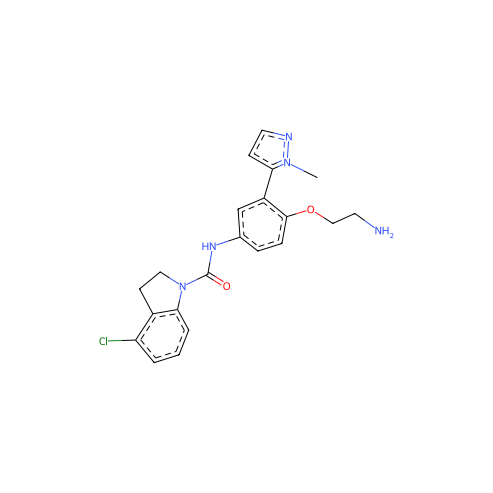 Cn1nccc1-c1cc(NC(=O)N2CCc3c(Cl)cccc32)ccc1OCCN